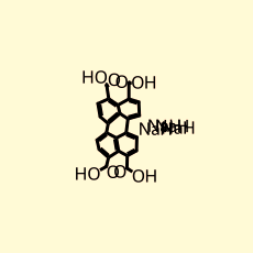 O=C(O)c1ccc2c3ccc(C(=O)O)c4c(C(=O)O)ccc(c5ccc(C(=O)O)c1c25)c43.[NaH].[NaH].[NaH].[NaH]